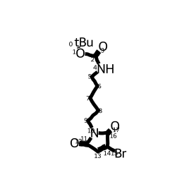 CC(C)(C)OC(=O)NCCCCCN1C(=O)C=C(Br)C1=O